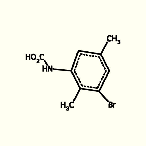 Cc1cc(Br)c(C)c(NC(=O)O)c1